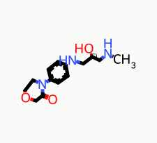 CNC[C@H](O)CNc1ccc(N2CCOCC2=O)cc1